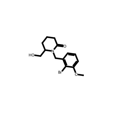 COc1cccc(CN2C(=O)CCCC2CO)c1Br